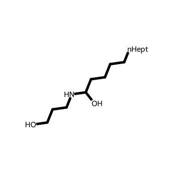 CCCCCCCCCCCC(O)NCCCO